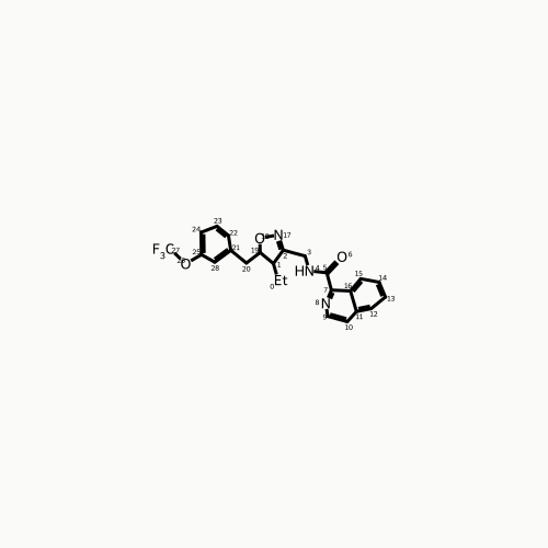 CCC1C(CNC(=O)c2nccc3ccccc23)=NOC1Cc1cccc(OC(F)(F)F)c1